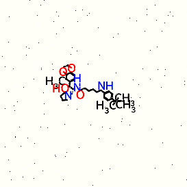 CC1C([C@@H](O)[C@@H](CN2CCCC2)NC(=O)CCCCC(=N)c2ccc(C(C)(C)C)cc2)=CC=C2OCCOC21